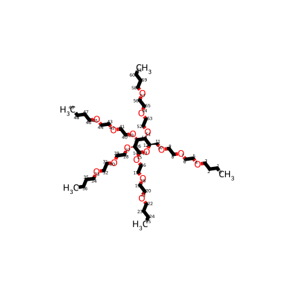 CCCCOCCOCCOC[C@H]1OC(OCCOCCOCCCC)[C@H](OCCOCCOCCCC)[C@@H](OCCOCCOCCCC)[C@@H]1OCCOCCOCCCC